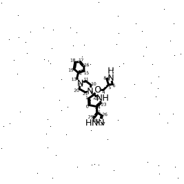 C1=CC(OCC2CNC2)(N2CCN(Cc3ccccc3)CC2)NC=C1c1cn[nH]c1